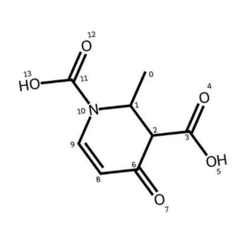 CC1C(C(=O)O)C(=O)C=CN1C(=O)O